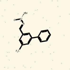 CC(C)(C)[S@@+]([O-])N=Cc1cc(-c2ccccc2)cc(C(F)(F)F)c1